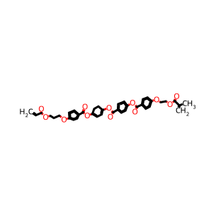 C=CC(=O)OCCCOc1ccc(C(=O)OC2=CC=C(OC(=O)c3ccc(OC(=O)c4ccc(OCCOC(=O)C(=C)C)cc4)cc3)CC2)cc1